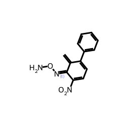 C=C1C(c2ccccc2)=CC=C([N+](=O)[O-])/C1=N/ON